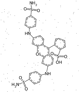 NS(=O)(=O)c1ccc(Nc2ccc3c(-c4ccccc4S(=O)(=O)O)c4ccc(Nc5ccc(S(N)(=O)=O)cc5)cc4[o+]c3c2)cc1